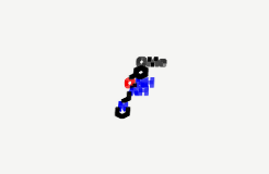 COc1ccc(NC(=O)NCCCN2CCCCC2)c(C)c1